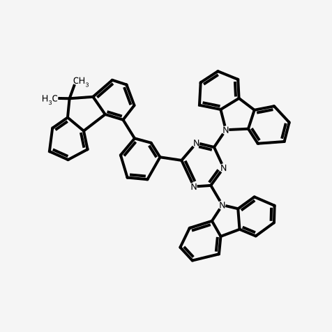 CC1(C)c2ccccc2-c2c(-c3cccc(-c4nc(-n5c6ccccc6c6ccccc65)nc(-n5c6ccccc6c6ccccc65)n4)c3)cccc21